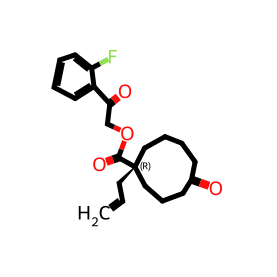 C=CC[C@@]1(C(=O)OCC(=O)c2ccccc2F)CCCCC(=O)CCC1